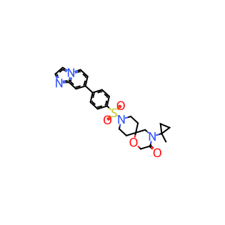 CC1(N2CC3(CCN(S(=O)(=O)c4ccc(-c5ccn6ccnc6c5)cc4)CC3)OCC2=O)CC1